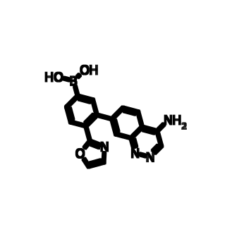 Nc1cnnc2cc(-c3cc(B(O)O)ccc3-c3ncco3)ccc12